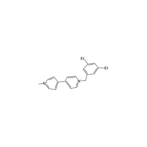 CCc1cc(CC)cc(C[n+]2ccc(-c3cc[n+](C)cc3)cc2)c1